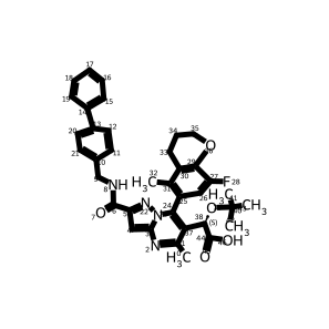 Cc1nc2cc(C(=O)NCc3ccc(-c4ccccc4)cc3)nn2c(-c2cc(F)c3c(c2C)CCCO3)c1[C@H](OC(C)(C)C)C(=O)O